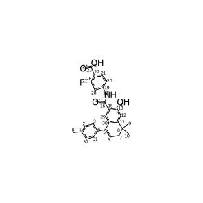 Cc1ccc(C2=CCC(C)(C)c3cc(O)c(C(=O)Nc4ccc(C(=O)O)c(F)c4)cc32)cc1